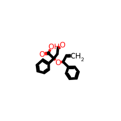 C=CC(OC(CC=O)(C(=O)O)c1ccccc1)c1ccccc1